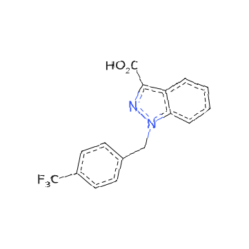 O=C(O)c1nn(Cc2ccc(C(F)(F)F)cc2)c2ccccc12